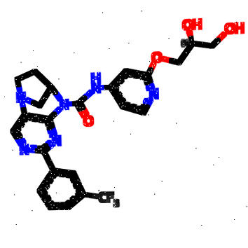 O=C(Nc1ccnc(OC[C@@H](O)CO)c1)N1c2nc(-c3cccc(C(F)(F)F)c3)ncc2N2CCC1C2